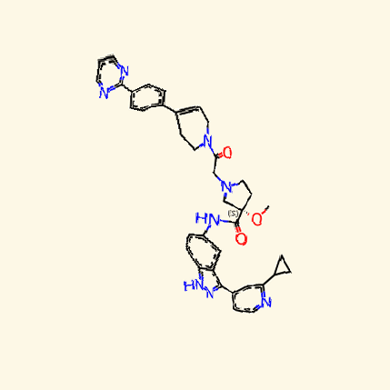 CO[C@@]1(C(=O)Nc2ccc3[nH]nc(-c4ccnc(C5CC5)c4)c3c2)CCN(CC(=O)N2CC=C(c3ccc(-c4ncccn4)cc3)CC2)C1